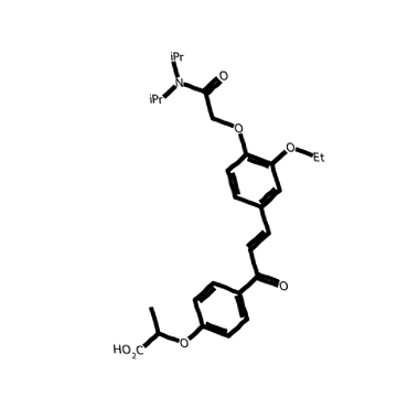 CCOc1cc(/C=C/C(=O)c2ccc(OC(C)C(=O)O)cc2)ccc1OCC(=O)N(C(C)C)C(C)C